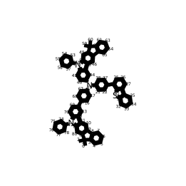 CC1(C)c2ccccc2-c2cc3c4cc(-c5ccc(N(c6ccc(-c7cccc8c7sc7ccccc78)cc6)c6ccc7c(c6)c6cc8c(cc6n7-c6ccccc6)C(C)(C)c6ccccc6-8)cc5)ccc4n(-c4ccccc4)c3cc21